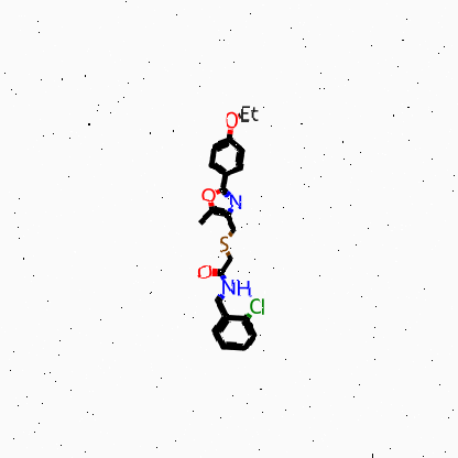 CCOc1ccc(-c2nc(CSCC(=O)NCc3ccccc3Cl)c(C)o2)cc1